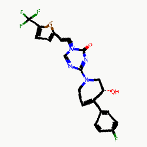 O=c1nc(N2CC=C(c3ccc(F)cc3)[C@@H](O)C2)ncn1Cc1ccc(C(F)(F)F)s1